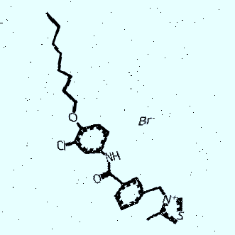 CCCCCCCCOc1ccc(NC(=O)c2cccc(C[n+]3cscc3C)c2)cc1Cl.[Br-]